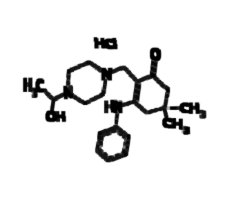 CC(O)N1CCN(CC2=C(Nc3ccccc3)CC(C)(C)CC2=O)CC1.Cl